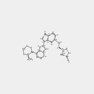 C[C@H]1COCCN1c1cccc2oc(-c3cnc4ccc(OC[C@H]5CCC(=O)N5)nn34)cc12